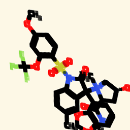 CNC(=O)[C@@H]1C[C@@H](O)C[N+]1(C)C1(c2cccc3c2OCO3)C(=O)N(S(=O)(=O)c2ccc(OC)cc2OC(F)(F)F)c2ccc(C)cc21